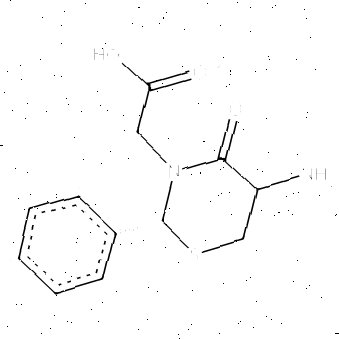 NC1CS[C@H](c2ccccc2)N(CC(=O)O)C1=O